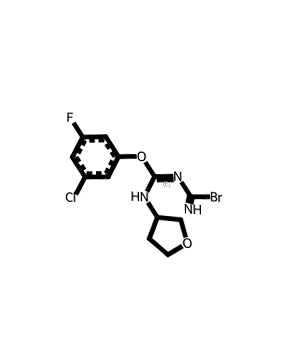 N=C(Br)/N=C(\NC1CCOC1)Oc1cc(F)cc(Cl)c1